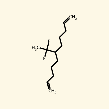 C=CCCCC(CCCC=C)C(C)(F)F